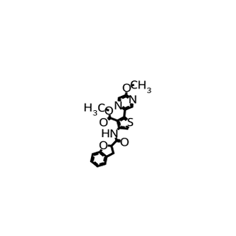 COC(=O)c1c(NC(=O)C2Cc3ccccc3O2)csc1-c1cnc(OC)cn1